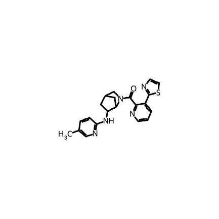 Cc1ccc(NC2CC3CC2N(C(=O)c2ncccc2-c2nccs2)C3)nc1